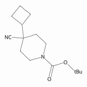 CC(C)(C)OC(=O)N1CCC(C#N)(C2CCC2)CC1